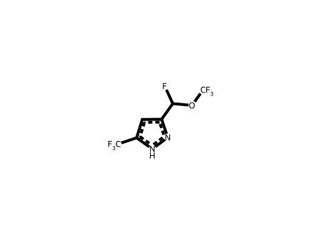 FC(OC(F)(F)F)c1cc(C(F)(F)F)[nH]n1